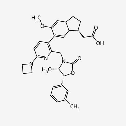 COC1=CC2CC[C@@H](CC(=O)O)C2C=C1c1ccc(N2CCC2)nc1CN1C(=O)O[C@H](c2cccc(C)c2)[C@@H]1C